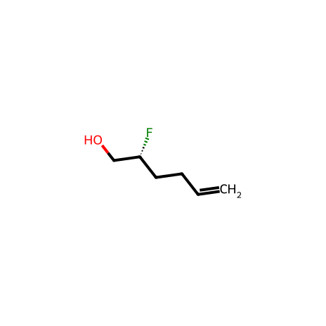 C=CCC[C@@H](F)CO